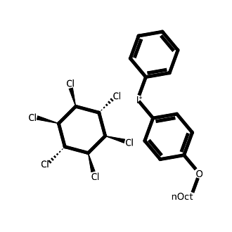 CCCCCCCCOc1ccc([I+]c2ccccc2)cc1.Cl[C@H]1[C@H](Cl)[C@@H](Cl)[C@@H](Cl)[C@H](Cl)[C@H]1Cl